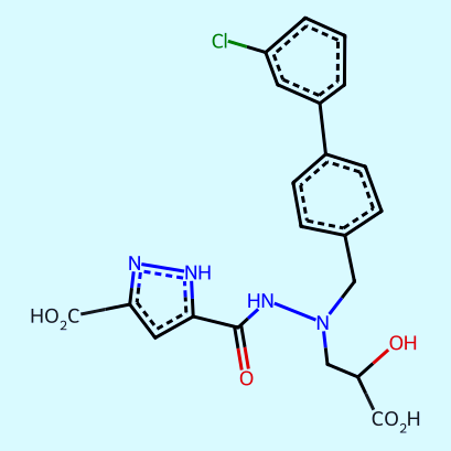 O=C(O)c1cc(C(=O)NN(Cc2ccc(-c3cccc(Cl)c3)cc2)CC(O)C(=O)O)[nH]n1